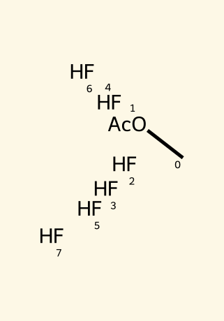 COC(C)=O.F.F.F.F.F.F